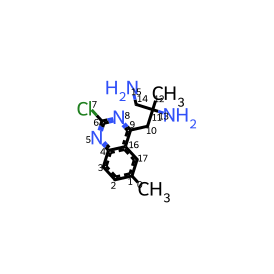 Cc1ccc2nc(Cl)nc(CC(C)(N)CN)c2c1